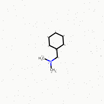 [CH2]N(C)CC1CCCCC1